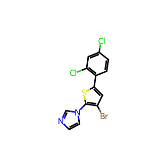 Clc1ccc(-c2cc(Br)c(-n3ccnc3)s2)c(Cl)c1